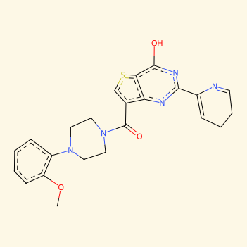 COc1ccccc1N1CCN(C(=O)c2csc3c(O)nc(C4=CCCC=N4)nc23)CC1